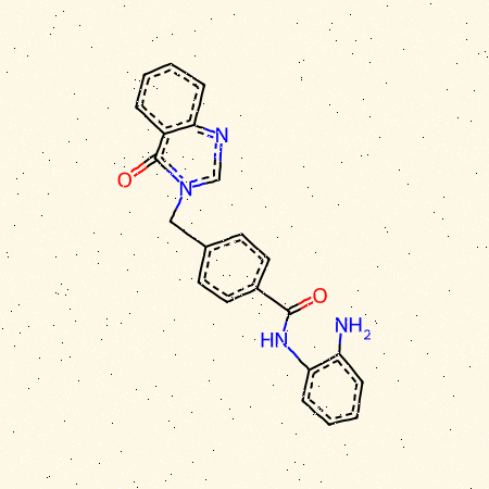 Nc1ccccc1NC(=O)c1ccc(Cn2cnc3ccccc3c2=O)cc1